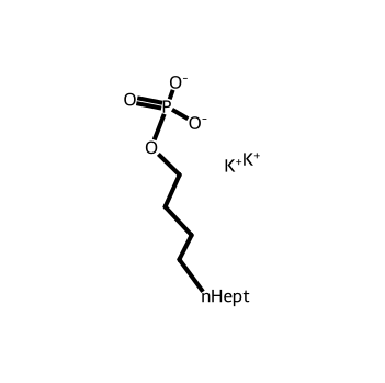 CCCCCCCCCCCOP(=O)([O-])[O-].[K+].[K+]